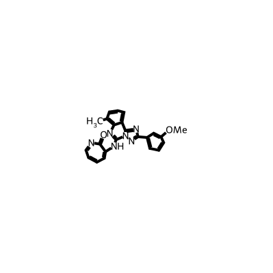 COc1cccc(-c2nc3c4cccc(C)c4nc(Nc4ccccnc4=O)n3n2)c1